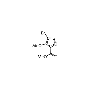 COC(=O)c1occ(Br)c1OC